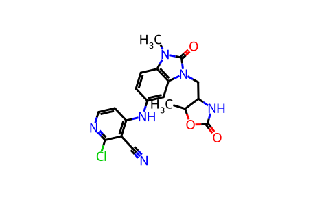 CC1OC(=O)NC1Cn1c(=O)n(C)c2ccc(Nc3ccnc(Cl)c3C#N)cc21